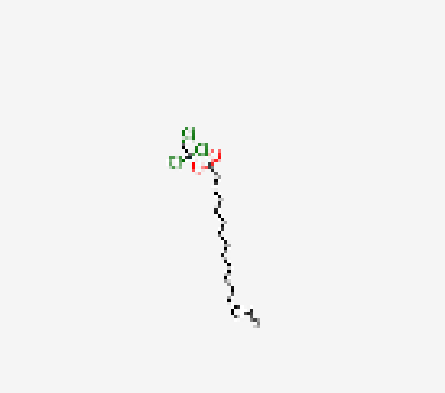 CCCCCCCCCCCCCC(=O)OC(Cl)(Cl)CCl